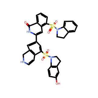 O=c1[nH]c(-c2cc3c(c(S(=O)(=O)N4CCc5cc(O)ccc54)c2)C=CNC3)cc2c(S(=O)(=O)N3CCc4ccccc43)cccc12